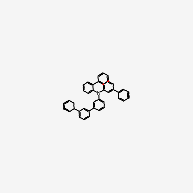 C1=CCC(c2cccc(-c3cccc(N(c4cccc(-c5ccccc5)c4)c4ccccc4-c4ccccc4)c3)c2)C=C1